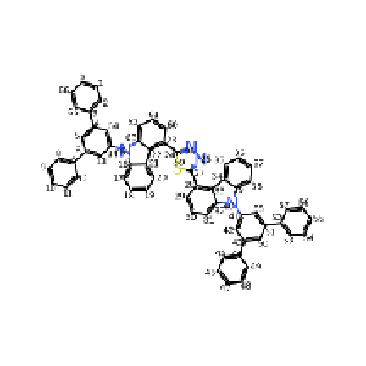 c1ccc(-c2cc(-c3ccccc3)cc(-n3c4ccccc4c4c(-c5nnc(-c6cccc7c6c6ccccc6n7-c6cc(-c7ccccc7)cc(-c7ccccc7)c6)s5)cccc43)c2)cc1